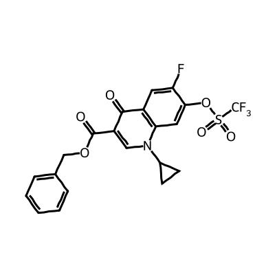 O=C(OCc1ccccc1)c1cn(C2CC2)c2cc(OS(=O)(=O)C(F)(F)F)c(F)cc2c1=O